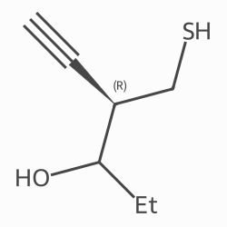 C#C[C@@H](CS)C(O)CC